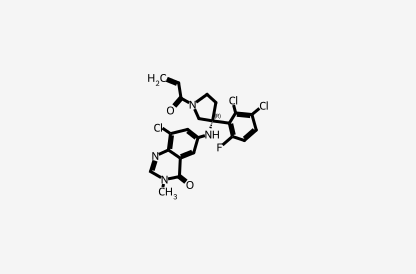 C=CC(=O)N1CC[C@@](Nc2cc(Cl)c3ncn(C)c(=O)c3c2)(c2c(F)ccc(Cl)c2Cl)C1